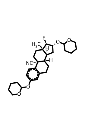 C[C@]12CC[C@]3(C#N)c4ccc(OC5CCCCO5)cc4CC[C@H]3[C@@H]1C[C@@H](OC1CCCCO1)[C@@H]2F